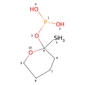 OP(O)OC1([SiH3])CCCCO1